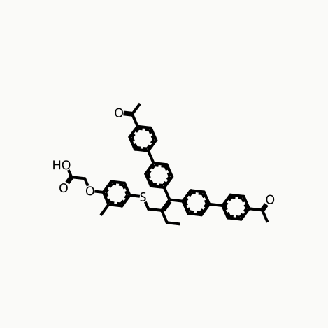 CCC(CSc1ccc(OCC(=O)O)c(C)c1)=C(c1ccc(-c2ccc(C(C)=O)cc2)cc1)c1ccc(-c2ccc(C(C)=O)cc2)cc1